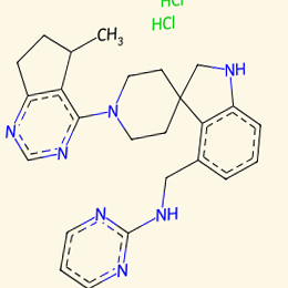 CC1CCc2ncnc(N3CCC4(CC3)CNc3cccc(CNc5ncccn5)c34)c21.Cl.Cl